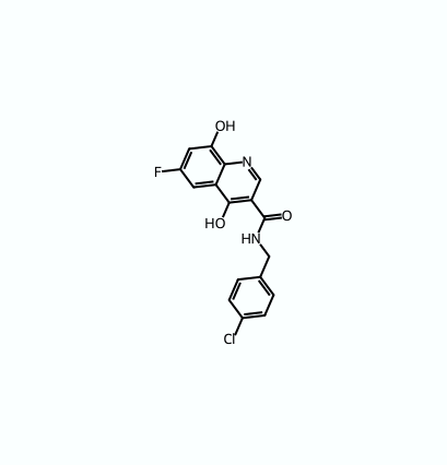 O=C(NCc1ccc(Cl)cc1)c1cnc2c(O)cc(F)cc2c1O